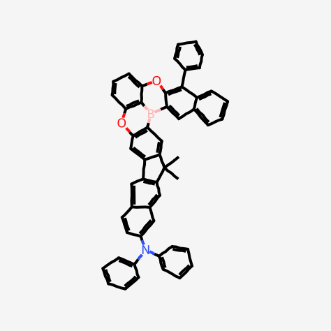 CC1(C)c2cc3c(cc2-c2cc4ccc(N(c5ccccc5)c5ccccc5)cc4cc21)Oc1cccc2c1B3c1cc3ccccc3c(-c3ccccc3)c1O2